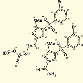 CSc1sc(C(=N)N)cc1S(=O)(=O)c1cccc(Br)c1.CSc1sc(N=CNC(=O)OC(C)(C)C)cc1S(=O)(=O)c1cccc(Br)c1